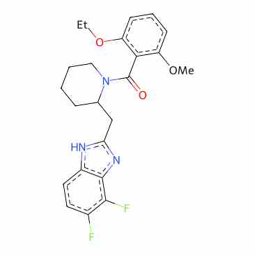 CCOc1cccc(OC)c1C(=O)N1CCCCC1Cc1nc2c(F)c(F)ccc2[nH]1